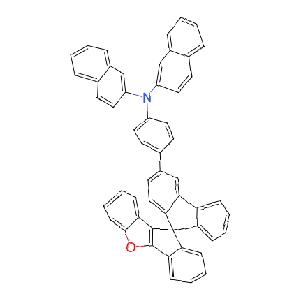 c1ccc2c(c1)-c1cc(-c3ccc(N(c4ccc5ccccc5c4)c4ccc5ccccc5c4)cc3)ccc1C21c2ccccc2-c2oc3ccccc3c21